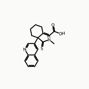 CNC(=S)C1(c2cnc3ccccc3c2)CCCCC1=CC(=O)O